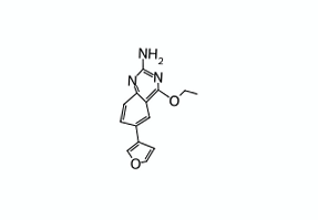 CCOc1nc(N)nc2ccc(-c3ccoc3)cc12